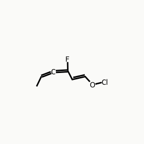 CC=C=C(F)C=COCl